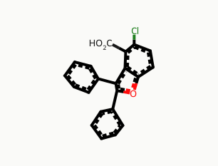 O=C(O)c1c(Cl)ccc2oc(-c3ccccc3)c(-c3ccccc3)c12